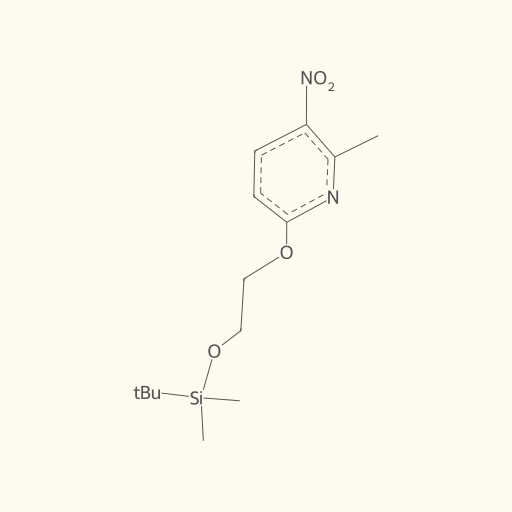 Cc1nc(OCCO[Si](C)(C)C(C)(C)C)ccc1[N+](=O)[O-]